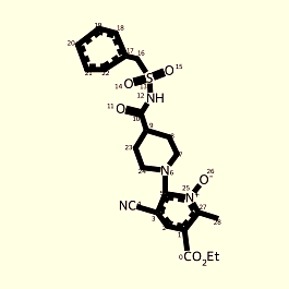 CCOC(=O)c1cc(C#N)c(N2CCC(C(=O)NS(=O)(=O)Cc3ccccc3)CC2)[n+]([O-])c1C